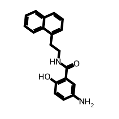 Nc1ccc(O)c(C(=O)NCCc2cccc3ccccc23)c1